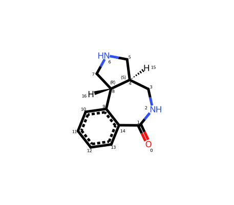 O=C1NC[C@@H]2CNC[C@H]2c2ccccc21